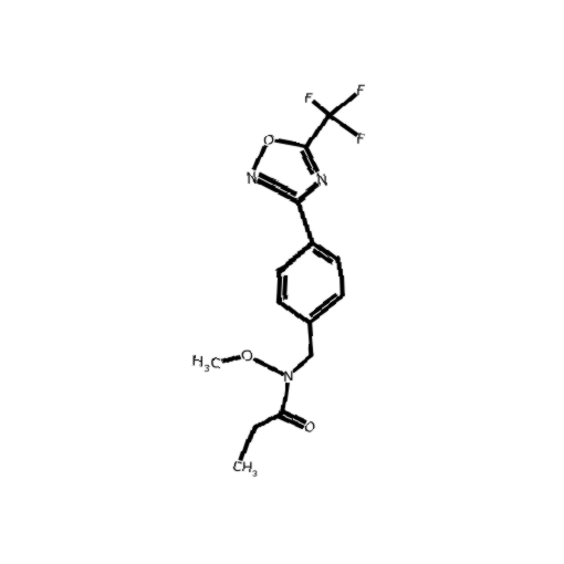 CCC(=O)N(Cc1ccc(-c2noc(C(F)(F)F)n2)cc1)OC